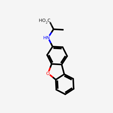 CC(Nc1ccc2c(c1)oc1ccccc12)C(=O)O